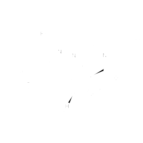 C=C1[C@@H]2CC[C@@]1(C(=O)N(C)C1CCC1)c1nnc(-c3c(F)cccc3F)cc12